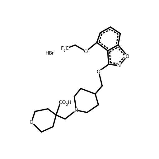 Br.O=C(O)C1(CN2CCC(COc3noc4cccc(OCC(F)(F)F)c34)CC2)CCOCC1